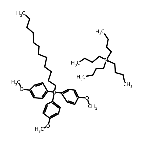 CCCCCCCCCCCC[B-](c1ccc(OC)cc1)(c1ccc(OC)cc1)c1ccc(OC)cc1.CCCC[N+](CCCC)(CCCC)CCCC